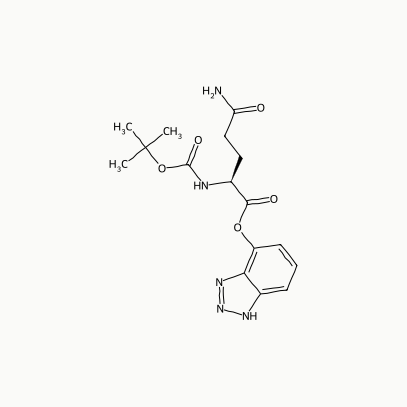 CC(C)(C)OC(=O)N[C@@H](CCC(N)=O)C(=O)Oc1cccc2[nH]nnc12